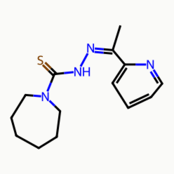 CC(=NNC(=S)N1CCCCCC1)c1ccccn1